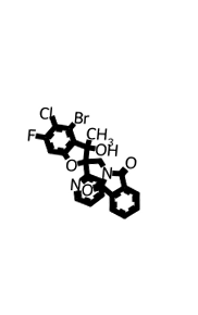 CC1(O)c2c(cc(F)c(Cl)c2Br)OC1(CN1C(=O)c2ccccc2C1=O)c1ccccn1